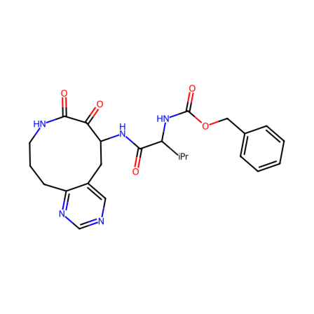 CC(C)C(NC(=O)OCc1ccccc1)C(=O)NC1Cc2cncnc2CCCNC(=O)C1=O